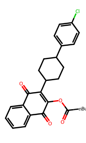 CCCCC(=O)OC1=C(C2CCC(c3ccc(Cl)cc3)CC2)C(=O)c2ccccc2C1=O